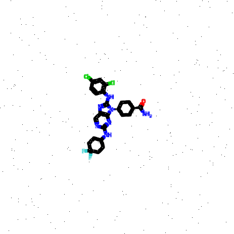 NC(=O)[C@H]1CC[C@H](n2c(Nc3ccc(Cl)cc3Cl)nc3cnc(NC4CCC(F)(F)CC4)nc32)CC1